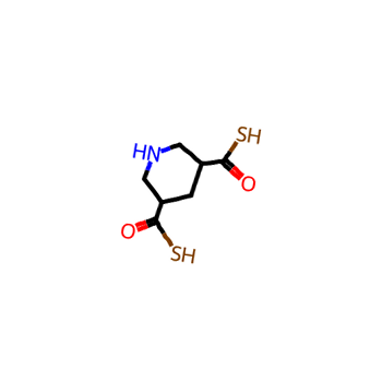 O=C(S)C1CNCC(C(=O)S)C1